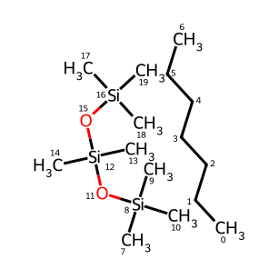 CCCCCCC.C[Si](C)(C)O[Si](C)(C)O[Si](C)(C)C